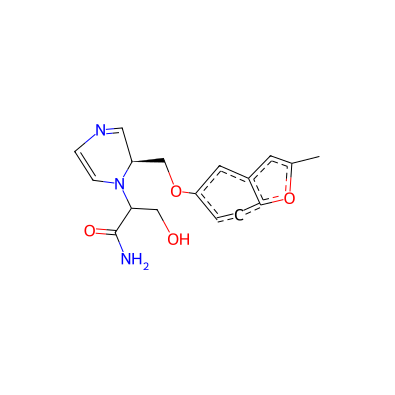 Cc1cc2cc(OC[C@@H]3C=NC=CN3C(CO)C(N)=O)ccc2o1